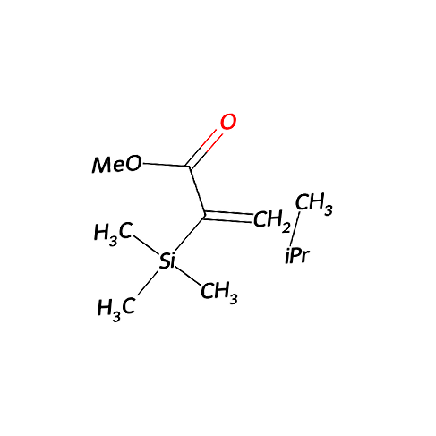 C=C(C(=O)OC)[Si](C)(C)C.CC(C)C